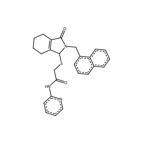 O=C(CSC1C2=C(CCCC2)C(=O)N1Cc1cccc2ccccc12)Nc1ccccn1